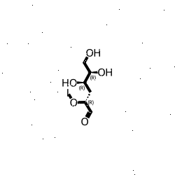 O=C[C@@H](C[C@@H](O)[C@H](O)CO)OI